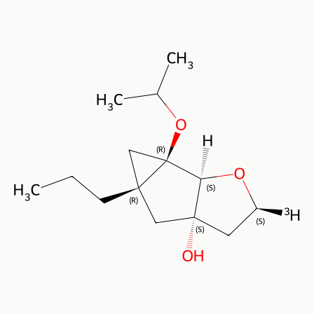 [3H][C@H]1C[C@@]2(O)C[C@]3(CCC)C[C@]3(OC(C)C)[C@H]2O1